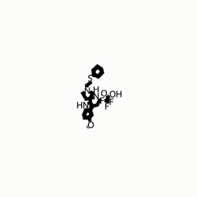 COc1ccc2[nH]c3c(c2c1)CCNC31CCN(CCSc2ccccc2)C1.O=C(O)C(F)(F)F